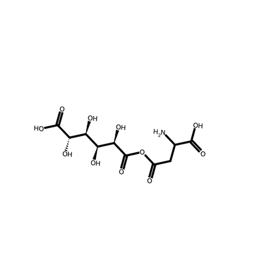 NC(CC(=O)OC(=O)[C@H](O)[C@@H](O)[C@H](O)[C@H](O)C(=O)O)C(=O)O